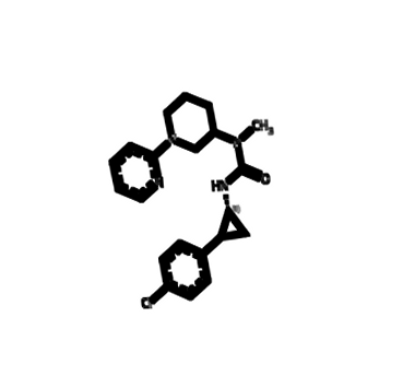 CN(C(=O)N[C@@H]1CC1c1ccc(Cl)cc1)C1CCCN(c2ccccn2)C1